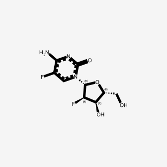 Nc1nc(=O)n([C@@H]2O[C@H](CO)[C@@H](O)[C@H]2F)cc1F